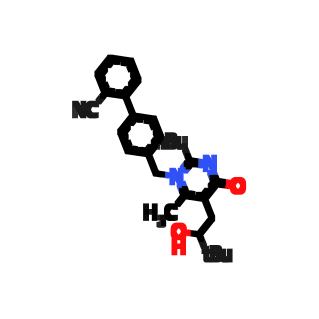 CCCCc1nc(=O)c(CC(O)C(C)(C)C)c(C)n1Cc1ccc(-c2ccccc2C#N)cc1